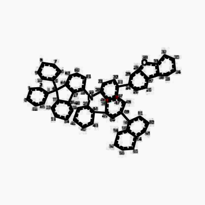 c1ccc(C2(c3ccccc3)c3ccccc3-c3c(N(c4ccc(-c5ccc6c(c5)oc5ccccc56)cc4)c4ccccc4-c4cccc(-c5cccc6ccccc56)c4)cccc32)cc1